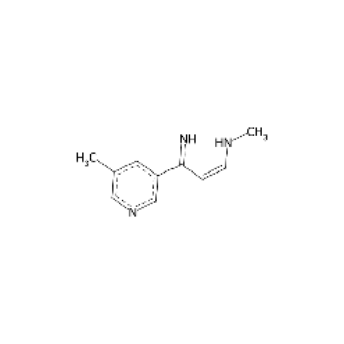 CN/C=C\C(=N)c1cncc(C)c1